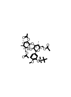 COc1ccc([C@H]2O[C@H](COC(C)=O)[C@@H](C)[C@H](O[C@H]3O[C@H](COC(C)=O)[C@@H](C)[C@H](C)[C@@H]3OC(C)=O)[C@@H]2O)cc1O[Si](C)(C)C(C)(C)C